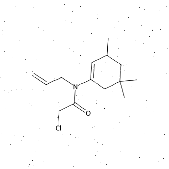 C=CCN(C(=O)CCl)C1=CC(C)CC(C)(C)C1